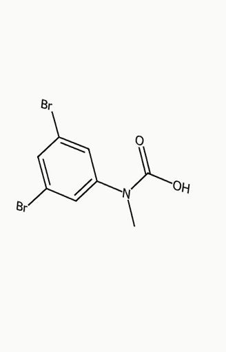 CN(C(=O)O)c1cc(Br)cc(Br)c1